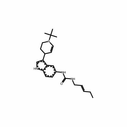 CCC=CCNC(=O)Nc1ccc2[nH]cc(C3C=CN(C(C)(C)C)CC3)c2c1